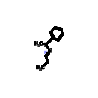 CS/C=N/N(C)c1ccccc1